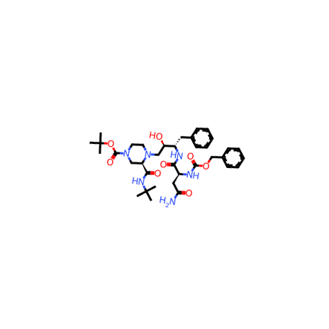 CC(C)(C)NC(=O)[C@H]1CN(C(=O)OC(C)(C)C)CCN1C[C@@H](O)[C@H](Cc1ccccc1)NC(=O)[C@H](CC(N)=O)NC(=O)OCc1ccccc1